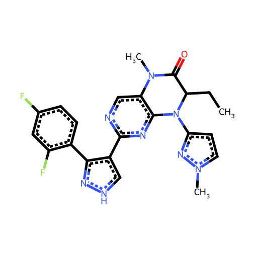 CCC1C(=O)N(C)c2cnc(-c3c[nH]nc3-c3ccc(F)cc3F)nc2N1c1ccn(C)n1